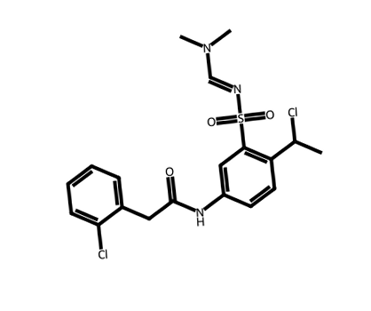 CC(Cl)c1ccc(NC(=O)Cc2ccccc2Cl)cc1S(=O)(=O)/N=C/N(C)C